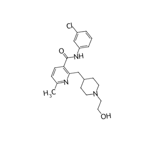 Cc1ccc(C(=O)Nc2cccc(Cl)c2)c(CC2CCN(CCO)CC2)n1